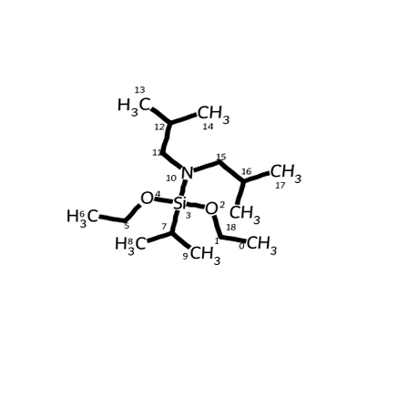 CCO[Si](OCC)(C(C)C)N(CC(C)C)CC(C)C